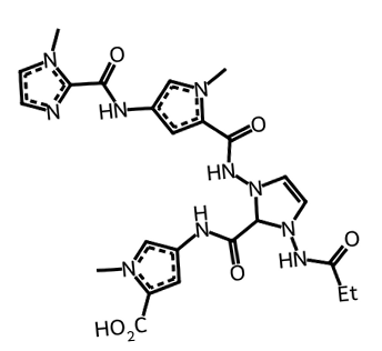 CCC(=O)NN1C=CN(NC(=O)c2cc(NC(=O)c3nccn3C)cn2C)C1C(=O)Nc1cc(C(=O)O)n(C)c1